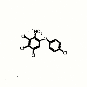 O=[N+]([O-])c1c(Oc2ccc(Cl)cc2)cc(Cl)c(Cl)c1Cl